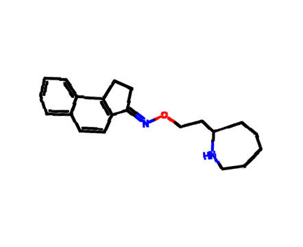 c1ccc2c3c(ccc2c1)C(=NOCCC1CCCCCN1)CC3